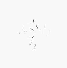 Cc1nocc1C(=O)CN1c2nc(N3CCOCC3C)cc(=O)n2CCC1C(F)(F)F